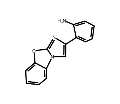 Nc1ccccc1-c1cn2c(n1)oc1ccccc12